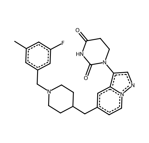 Cc1cc(F)cc(CN2CCC(Cc3ccn4ncc(N5CCC(=O)NC5=O)c4c3)CC2)c1